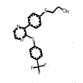 OCCSc1ccc(-c2nccnc2Sc2ccc(C(F)(F)F)cc2)cc1